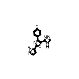 Cn1nccc1-c1nc(-c2ccc(F)cc2)c(-c2nnc[nH]2)s1